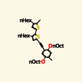 CCCCCCCCOc1cc(C#Cc2cc(CCCCCC)c(-c3cc(CCCCCC)c(C)s3)s2)c(OCCCCCCCC)cc1C